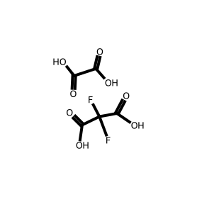 O=C(O)C(=O)O.O=C(O)C(F)(F)C(=O)O